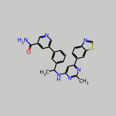 Cc1nc(NC(C)c2cccc(-c3cncc(C(N)=O)c3)c2)cc(-c2ccc3ncsc3c2)n1